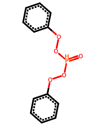 O=[PH](OOc1ccccc1)OOc1ccccc1